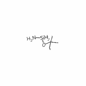 CC(C)(C)O[SiH2]N